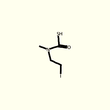 CN(CCI)C(=O)S